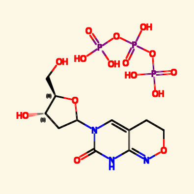 O=C1NC2=NOCCC2=CN1C1C[C@H](O)[C@@H](CO)O1.O=P(O)(O)OP(=O)(O)OP(=O)(O)O